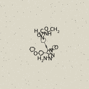 C=CC(=O)N[C@H](C)C(=O)N1CCC(C#Cc2c(-c3ccc(Oc4ccccc4)cc3)c3c(N)ncnc3n2[C@H]2CCOC2)CC1